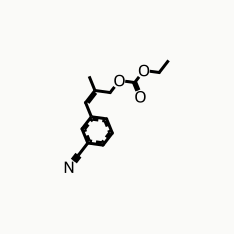 CCOC(=O)OCC(C)=Cc1cccc(C#N)c1